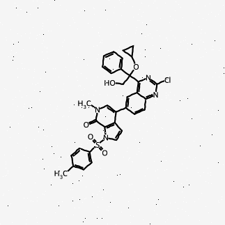 Cc1ccc(S(=O)(=O)n2ccc3c(-c4ccc5nc(Cl)nc(C(CO)(OC6CC6)c6ccccc6)c5c4)cn(C)c(=O)c32)cc1